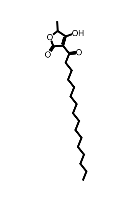 CCCCCCCCCCCCCCCC(=O)C1=C(O)C(C)OC1=O